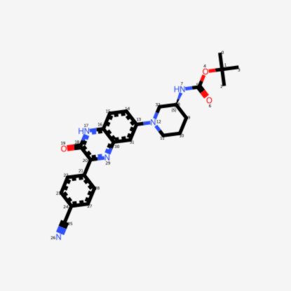 CC(C)(C)OC(=O)N[C@H]1CCCN(c2ccc3[nH]c(=O)c(-c4ccc(C#N)cc4)nc3c2)C1